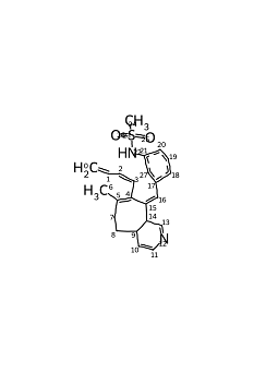 C=C/C=C\C1=C(C)CCC2C=CN=CC2/C1=C/c1cccc(NS(C)(=O)=O)c1